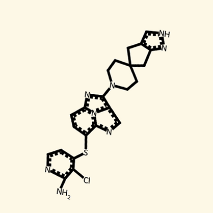 Nc1nccc(Sc2ccc3nc(N4CCC5(CC4)Cc4c[nH]nc4C5)c4cnc2n34)c1Cl